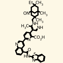 CCC1(C)CC2(C)CC(C)(CN/C(C)=C(\C=N)c3ccc(-c4cnc5cccc(C(=O)Nc6nc7ccccc7s6)c5c4)nc3C(=O)O)CC(N=O)(C1)C2